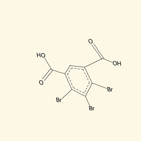 O=C(O)c1cc(C(=O)O)c(Br)c(Br)c1Br